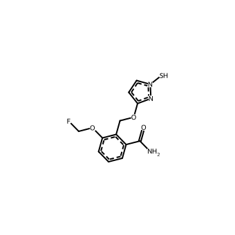 NC(=O)c1cccc(OCF)c1COc1ccn(S)n1